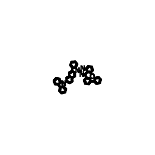 c1ccc2c(-c3cccc4c3oc3ccccc34)nc(-n3c4ccccc4c4cc5cc(-n6c7ccccc7c7ccccc76)ccc5cc43)nc2c1